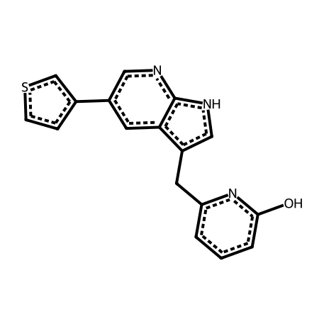 Oc1cccc(Cc2c[nH]c3ncc(-c4ccsc4)cc23)n1